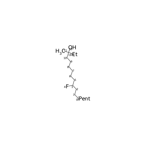 CCCC(C)CCC(F)CCCCCCC(C)(O)CC